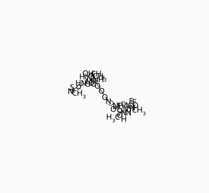 COc1cc(C(=O)NC2CCN(CCOCCOCCOCC(=O)N[C@H](C(=O)N3CC(O)CC3C(=O)NCc3ccc(-c4scnc4C)cc3)C(C)(C)C)CC2)c(F)cc1Nc1ncc2c(n1)N(C1CCCC1)CC(F)(F)C(=O)N2C